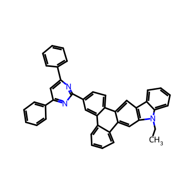 CCn1c2ccccc2c2cc3c4ccc(-c5nc(-c6ccccc6)cc(-c6ccccc6)n5)cc4c4ccccc4c3cc21